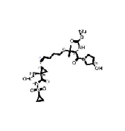 CC(C)(C)OC(=O)N[C@H](C(=O)N1CC[C@@H](O)C1)C(C)(C)SCCC/C=C\[C@@H]1C[C@]1(NC=O)C(=O)NS(=O)(=O)C1CC1